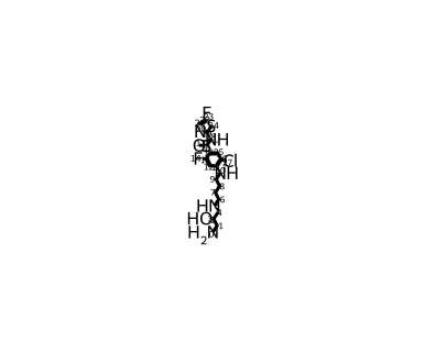 NCC(O)CNCCCCNc1cc(F)c([S+]([O-])Nc2ncc(F)s2)cc1Cl